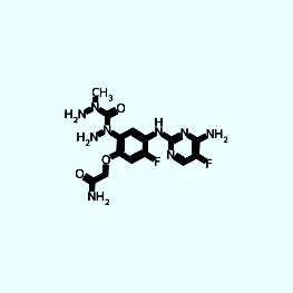 CN(N)C(=O)N(N)c1cc(Nc2ncc(F)c(N)n2)c(F)cc1OCC(N)=O